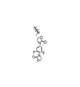 [N-]=[N+]=NC[C@H]1CN(c2cc(F)c(N3CCOC3=O)c(F)c2)C(=O)O1